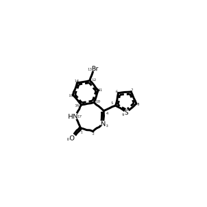 O=C1CN=C(c2cccs2)c2cc(Br)ccc2N1